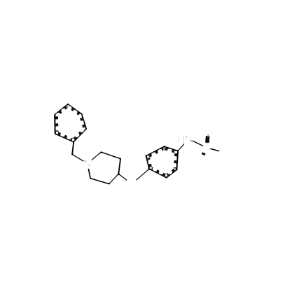 CCCCS(=O)(=O)Nc1ccc(OC2CCN(Cc3ccccc3)CC2)cc1